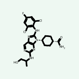 CC(CO)Nc1ncc2nc(Nc3c(Cl)cc(F)cc3Cl)n([C@H]3CC[C@@H](C(N)=O)CC3)c2n1